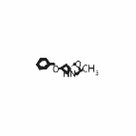 CC1CN[C@]2(CO1)C[C@H](OCc1ccccc1)C2